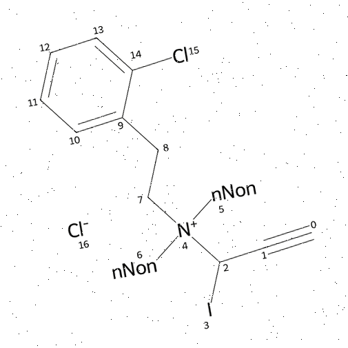 C#CC(I)[N+](CCCCCCCCC)(CCCCCCCCC)CCc1ccccc1Cl.[Cl-]